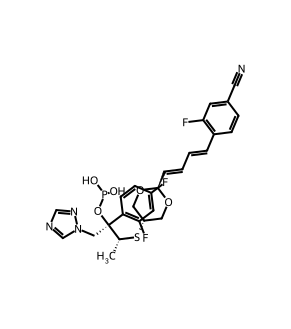 C[C@@H](S[C@H]1CO[C@H](/C=C/C=C/c2ccc(C#N)cc2F)OC1)[C@@](Cn1cncn1)(OP(O)O)c1ccc(F)cc1F